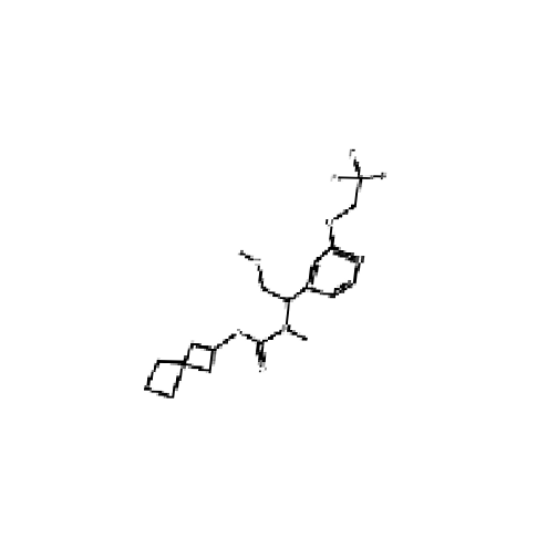 COCC(c1ccnc(OCC(F)(F)F)c1)N(C)C(=O)NC1CC2(CCC2)C1